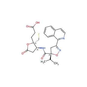 CC(C)[C@@]1(C(=O)N[C@H]2CC(=O)O[C@@]2(CF)CCC(=O)O)CC(c2nccc3ccccc23)=NO1